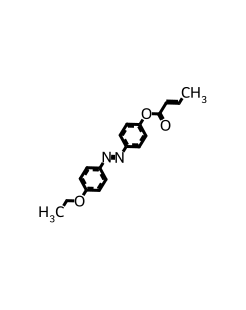 CC=CC(=O)Oc1ccc(N=Nc2ccc(OCC)cc2)cc1